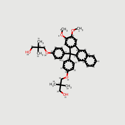 COc1cc2c(cc1OC)C(c1ccc(OCC(C)(C)CO)cc1)(c1ccc(OCC(C)(C)CO)cc1)c1cc3ccccc3cc1-2